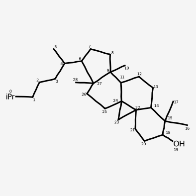 CC(C)CCCC(C)C1CCC2(C)C3CCC4C(C)(C)C(O)CCC45CC35CCC12C